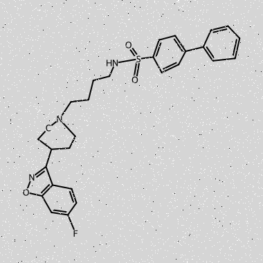 O=S(=O)(NCCCCN1CCC(c2noc3cc(F)ccc23)CC1)c1ccc(-c2ccccc2)cc1